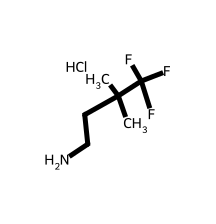 CC(C)(CCN)C(F)(F)F.Cl